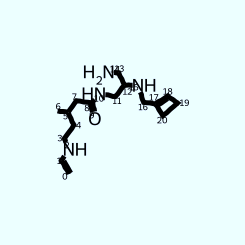 C=CNCCC(C)CC(=O)NCC(CN)NCC1=CCC1